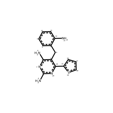 Nc1nc(N)c(Cc2ccccc2N)c(-c2cccs2)n1